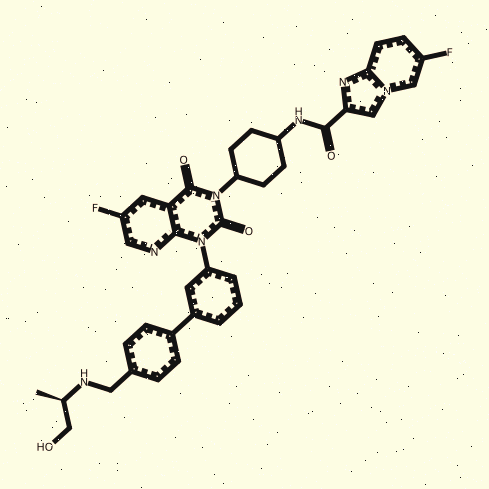 C[C@H](CO)NCc1ccc(-c2cccc(-n3c(=O)n(C4CCC(NC(=O)c5cn6cc(F)ccc6n5)CC4)c(=O)c4cc(F)cnc43)c2)cc1